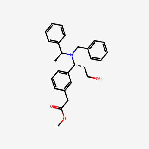 COC(=O)Cc1cccc([C@@H](CCO)N(Cc2ccccc2)[C@@H](C)c2ccccc2)c1